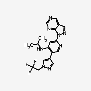 CC(C)Nc1cc(-n2ncc3cncnc32)ncc1-c1cnn(CC(F)(F)F)c1